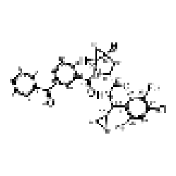 O=C(c1ccccc1)c1cccc(C(=O)N2[C@@H](C(=O)N[C@@H](c3cc(F)c(Cl)cc3F)C3CC3)C[C@H]3C[C@H]32)c1